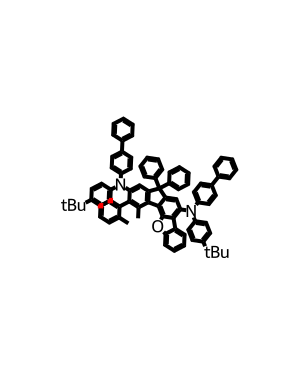 Cc1ccccc1-c1c(N(c2ccc(-c3ccccc3)cc2)c2ccc(C(C)(C)C)cc2)cc2c(c1C)-c1c(cc(N(c3ccc(-c4ccccc4)cc3)c3ccc(C(C)(C)C)cc3)c3c1oc1ccccc13)C2(c1ccccc1)c1ccccc1